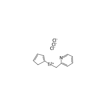 C1=CC[C]([Ti+3][CH2]c2ccccn2)=C1.[Cl-].[Cl-].[Cl-]